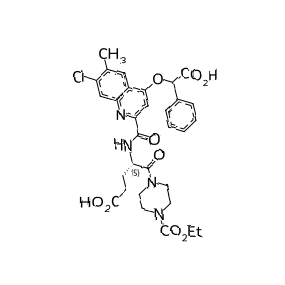 CCOC(=O)N1CCN(C(=O)[C@H](CCC(=O)O)NC(=O)c2cc(OC(C(=O)O)c3ccccc3)c3cc(C)c(Cl)cc3n2)CC1